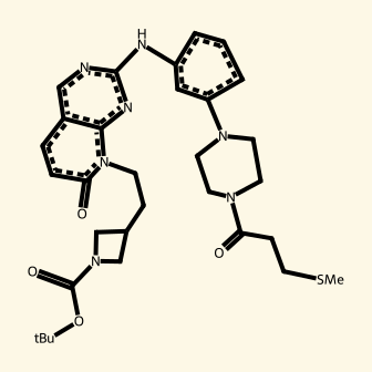 CSCCC(=O)N1CCN(c2cccc(Nc3ncc4ccc(=O)n(CCC5CN(C(=O)OC(C)(C)C)C5)c4n3)c2)CC1